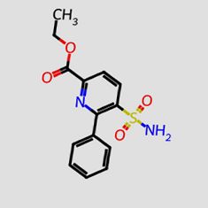 CCOC(=O)c1ccc(S(N)(=O)=O)c(-c2ccccc2)n1